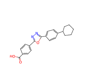 O=C(O)c1ccc(-c2nnc(-c3ccc(C4CCCCC4)cc3)o2)cc1